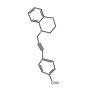 O=Cc1ccc(C#CCN2CCSc3ccccc32)cc1